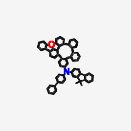 CC1(C)c2ccccc2-c2ccc(N(c3ccc(-c4ccccc4)cc3)c3ccc4c(c3)c3ccccc3c3ccccc3c3ccccc3c3c4ccc4c5ccccc5oc43)cc21